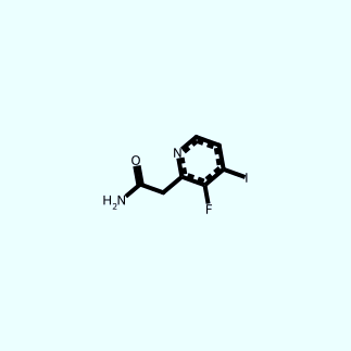 NC(=O)Cc1nccc(I)c1F